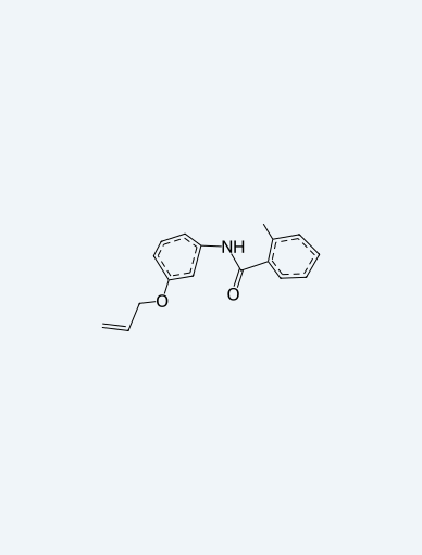 C=CCOc1cccc(NC(=O)c2ccccc2C)c1